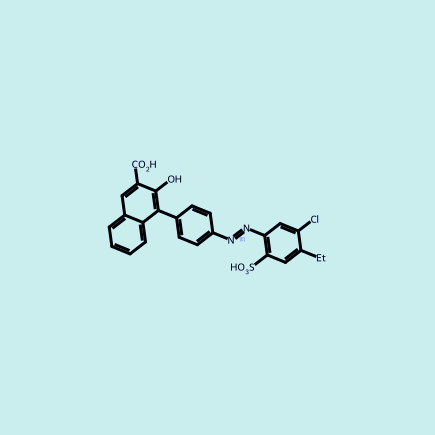 CCc1cc(S(=O)(=O)O)c(/N=N/c2ccc(-c3c(O)c(C(=O)O)cc4ccccc34)cc2)cc1Cl